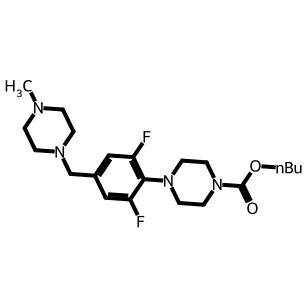 CCCCOC(=O)N1CCN(c2c(F)cc(CN3CCN(C)CC3)cc2F)CC1